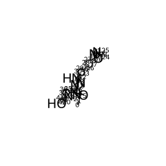 C=CCn1c(=O)c2cnc(Nc3ccc(C4CCC(c5nnc(C(C)C)o5)CC4)cc3)nc2n1-c1cccc(C(C)(C)O)n1